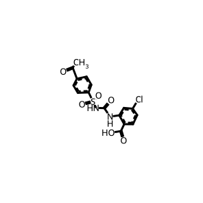 CC(=O)c1ccc(S(=O)(=O)NC(=O)Nc2cc(Cl)ccc2C(=O)O)cc1